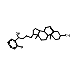 CC12CCC(O)CC1=CCC1C2CCC2(C)C(CCCC(O)c3ccccc3F)CCC12